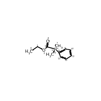 CCOC(=O)[N+](C)(C)c1ccccc1